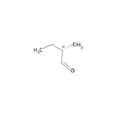 CC[C@H](C)[C]=O